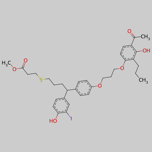 CCCc1c(OCCCOc2ccc(C(CCCSCCC(=O)OC)c3ccc(O)c(I)c3)cc2)ccc(C(C)=O)c1O